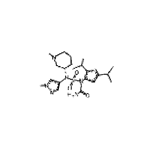 CC(C)c1cc(N(C(N)=O)S(=O)(=O)N(c2cnn(C)c2)[C@H]2CCCN(C)C2)c(C(C)C)s1